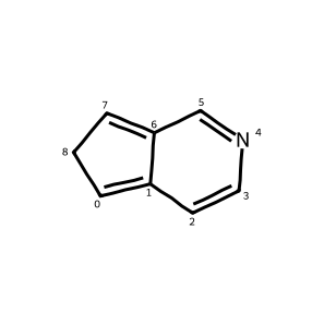 C1=c2ccncc2=CC1